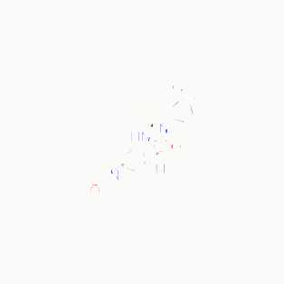 Cc1cccc(N2C(=O)C(C)(c3ccc(N4CCOCC4)cc3)NC2=S)c1